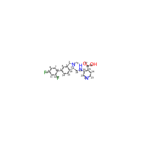 CN1Cc2cc(-c3ccc(F)cc3F)ccc2[C@@H]1CNc1cnccc1C(=O)O